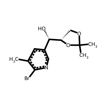 Cc1cc([C@H](O)[C@@H]2COC(C)(C)O2)cnc1Br